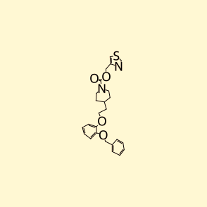 O=C(OCc1cscn1)N1CCC(CCOc2ccccc2OCc2ccccc2)CC1